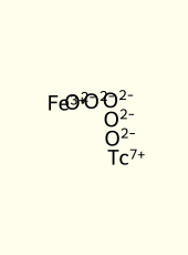 [Fe+3].[O-2].[O-2].[O-2].[O-2].[O-2].[Tc+7]